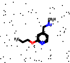 O=C(O)NCc1ccnc(OCCC(F)(F)F)c1